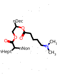 CCCCCCCCCCC(COC(=O)C(CCCCCCC)CCCCCCCCC)OC(=O)CCCCN(C)C